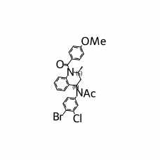 COc1ccc(C(=O)N2c3ccccc3[C@H](N(C(C)=O)c3ccc(Br)c(Cl)c3)C[C@@H]2C)cc1